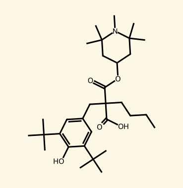 CCCCC(Cc1cc(C(C)(C)C)c(O)c(C(C)(C)C)c1)(C(=O)O)C(=O)OC1CC(C)(C)N(C)C(C)(C)C1